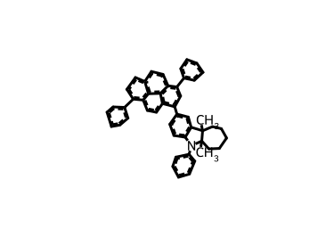 CC12CCCCCC1(C)N(c1ccccc1)c1ccc(-c3cc(-c4ccccc4)c4ccc5ccc(-c6ccccc6)c6ccc3c4c56)cc12